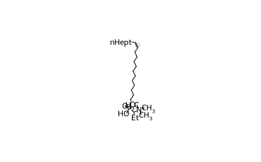 CCCCCCC/C=C\CCCCCCCCCCCOP(=O)(O)C(CC)[N+](C)(C)C